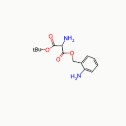 CC(C)(C)OC(=O)C(N)C(=O)OCc1ccccc1N